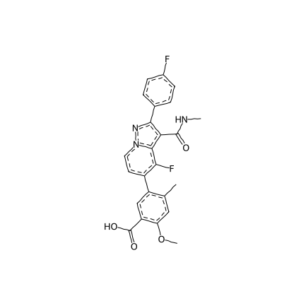 CNC(=O)c1c(-c2ccc(F)cc2)nn2ccc(-c3cc(C(=O)O)c(OC)cc3C)c(F)c12